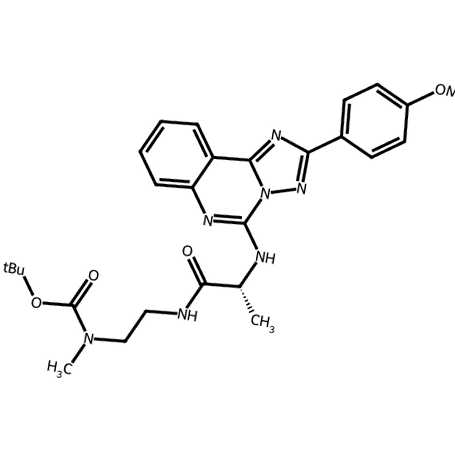 COc1ccc(-c2nc3c4ccccc4nc(N[C@H](C)C(=O)NCCN(C)C(=O)OC(C)(C)C)n3n2)cc1